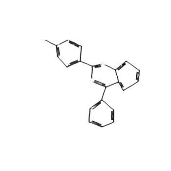 Clc1ccc(-c2nc(-c3ccccc3)c3ccccc3n2)cc1